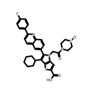 O=C(O)c1cc2c(s1)c(C1CCCCC1)c(-c1ccc3nc(-c4ccc(F)cc4)ccc3c1)n2CC(=O)N1CC[S+]([O-])CC1